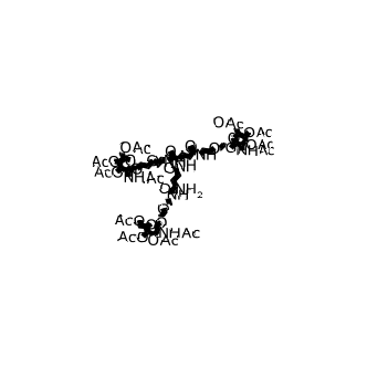 CC(=O)NC1C(OCCOCCNC(=O)CCC(NC(=O)CCC(N)C(=O)NCCOCCOC2OC(COC(C)=O)C(OC(C)=O)C(OC(C)=O)C2NC(C)=O)C(=O)NCCOCCOC2OC(COC(C)=O)C(OC(C)=O)C(OC(C)=O)C2NC(C)=O)OC(COC(C)=O)C(OC(C)=O)C1OC(C)=O